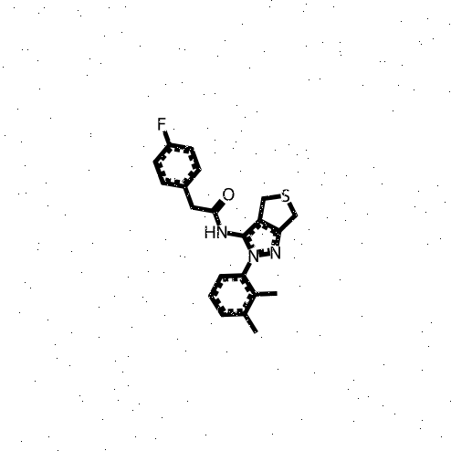 Cc1cccc(-n2nc3c(c2NC(=O)Cc2ccc(F)cc2)CSC3)c1C